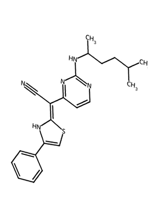 CC(C)CCC(C)Nc1nccc(/C(C#N)=C2/NC(c3ccccc3)=CS2)n1